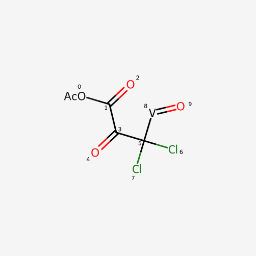 CC(=O)OC(=O)C(=O)[C](Cl)(Cl)[V]=[O]